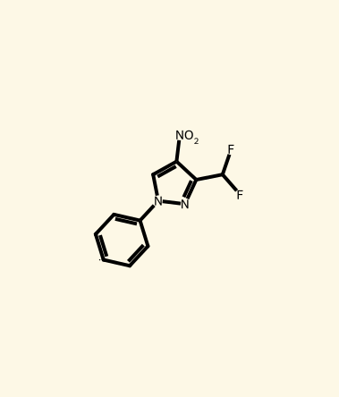 O=[N+]([O-])c1cn(-c2cc[c]cc2)nc1C(F)F